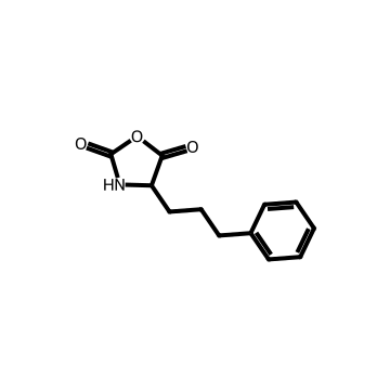 O=C1NC(CCCc2ccccc2)C(=O)O1